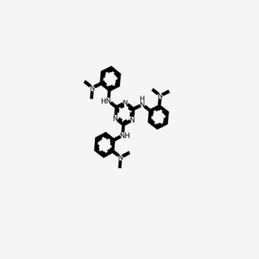 CN(C)c1ccccc1Nc1nc(Nc2ccccc2N(C)C)nc(Nc2ccccc2N(C)C)n1